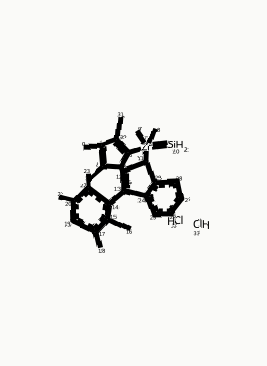 CC1=C(C)C(C)[C]([Zr]([CH3])([CH3])(=[SiH2])[CH]2C=C(c3c(C)c(C)cc(C)c3C)c3ccccc32)=C1C.Cl.Cl